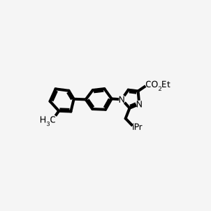 CCOC(=O)c1cn(-c2ccc(-c3cccc(C)c3)cc2)c(CC(C)C)n1